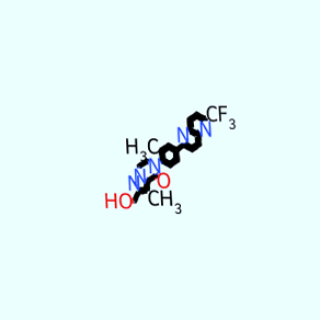 Cc1cc(-c2ccc3nc(C(F)(F)F)ccc3n2)ccc1N1CCn2nc(CO)c(C)c2C1=O